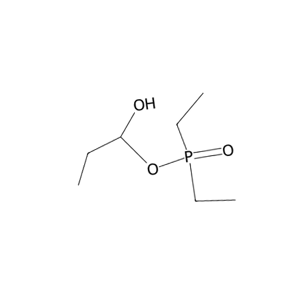 CCC(O)OP(=O)(CC)CC